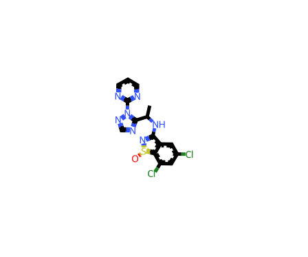 CC(Nc1n[s+]([O-])c2c(Cl)cc(Cl)cc12)c1ncnn1-c1ncccn1